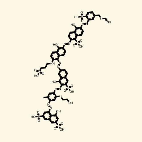 Cc1cc(N=Nc2c(S(=O)(=O)O)cc3ccc(N=Nc4c(NCCCS(=O)(=O)O)ccc5c(O)c(N=Nc6ccc7c(O)c(N=Nc8cc(COC=N)ccc8S(=O)(=O)O)ccc7c6S(=O)(=O)O)ccc45)cc3c2O)c(OCCO)cc1N=Nc1cc(S(=O)(=O)O)cc2cc(S(=O)(=O)O)cc(O)c12